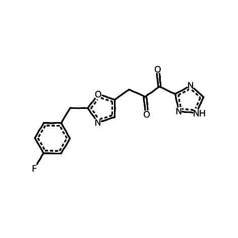 O=C(Cc1cnc(Cc2ccc(F)cc2)o1)C(=O)c1nc[nH]n1